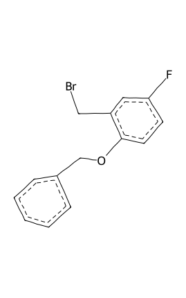 Fc1ccc(OCc2ccccc2)c(CBr)c1